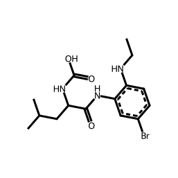 CCNc1ccc(Br)cc1NC(=O)C(CC(C)C)NC(=O)O